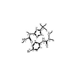 CNC(=O)N(C)c1nnc(C(C)(C)C)s1.CON(C)C(=O)Nc1ccc(Br)cc1